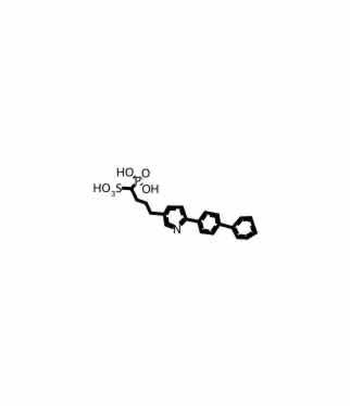 O=P(O)(O)C(CCCc1ccc(-c2ccc(-c3ccccc3)cc2)nc1)S(=O)(=O)O